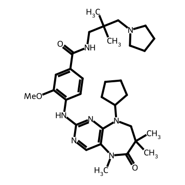 COc1cc(C(=O)NCC(C)(C)CN2CCCC2)ccc1Nc1ncc2c(n1)N(C1CCCC1)CC(C)(C)C(=O)N2C